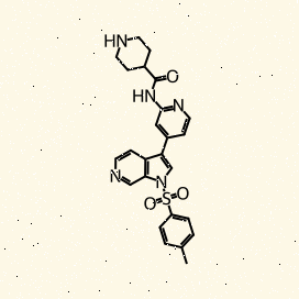 Cc1ccc(S(=O)(=O)n2cc(-c3ccnc(NC(=O)C4CCNCC4)c3)c3ccncc32)cc1